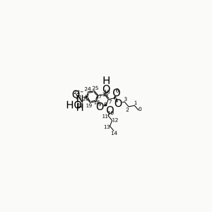 CCCCOC(=O)C(C(=O)OCCCC)=C(O)c1ccc([NH+]([O-])O)cc1